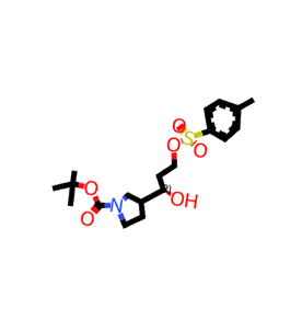 Cc1ccc(S(=O)(=O)OCC[C@@H](O)C2CCN(C(=O)OC(C)(C)C)C2)cc1